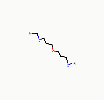 CC(C)(C)CNCCCOCCCNC(C)(C)C